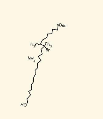 CCCCCCCCCCCCCCCCC(C)C(C)(Br)CCCCCCCCCCCCCCCCO.N